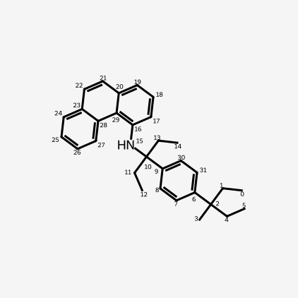 CCC(C)(CC)c1ccc(C(CC)(CC)Nc2cccc3ccc4ccccc4c23)cc1